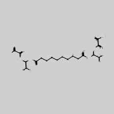 C=C(C)C(=O)OC(OC(=O)CCCCCCCCC(=O)OC(OC(=O)C(=C)C)C(C)O)C(C)O